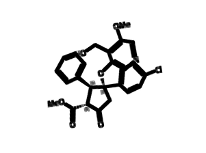 COC(=O)[C@H]1C(=O)C[C@](Oc2cncc(OC)c2CO)(c2ccc(Cl)cc2)[C@@H]1c1ccccc1